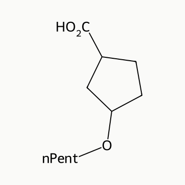 CCCCCOC1CCC(C(=O)O)C1